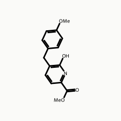 COC(=O)c1ccc(Cc2ccc(OC)cc2)c(O)n1